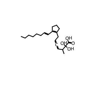 CCCCCC/C=C/C1=C(CC=C=CC(C)C(O)(O)C(=O)O)CCC1